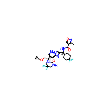 Cc1nocc1C(=O)N[C@H](c1cn2ncc([C@@H](COC3CC3)N3CC(F)(F)CNC3=O)cc2n1)C1CCC(F)(F)CC1